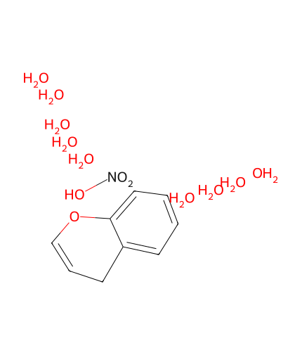 C1=COc2ccccc2C1.O.O.O.O.O.O.O.O.O.O=[N+]([O-])O